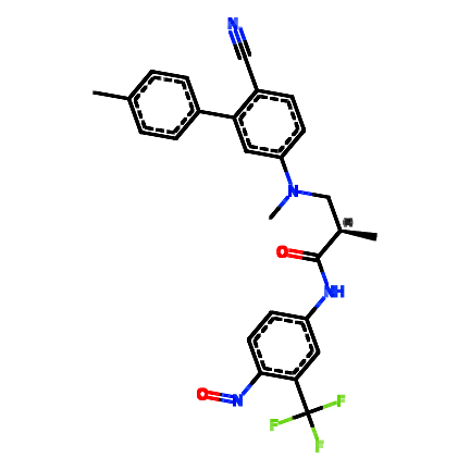 Cc1ccc(-c2cc(N(C)C[C@@H](C)C(=O)Nc3ccc(N=O)c(C(F)(F)F)c3)ccc2C#N)cc1